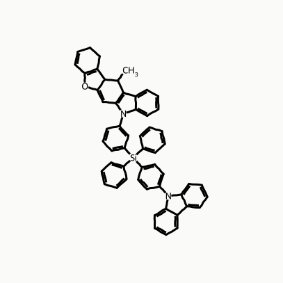 CC1c2c(n(-c3cccc([Si](c4ccccc4)(c4ccccc4)c4ccc(-n5c6ccccc6c6ccccc65)cc4)c3)c3ccccc23)C=C2OC3=C(CCC=C3)C21